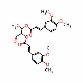 COc1ccc(/C=C/C(=O)OC(C)C(C=O)OC(=O)/C=C/c2ccc(OC)c(OC)c2)cc1OC